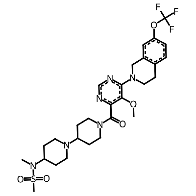 COc1c(C(=O)N2CCC(N3CCC(N(C)S(C)(=O)=O)CC3)CC2)ncnc1N1CCc2ccc(OC(F)(F)F)cc2C1